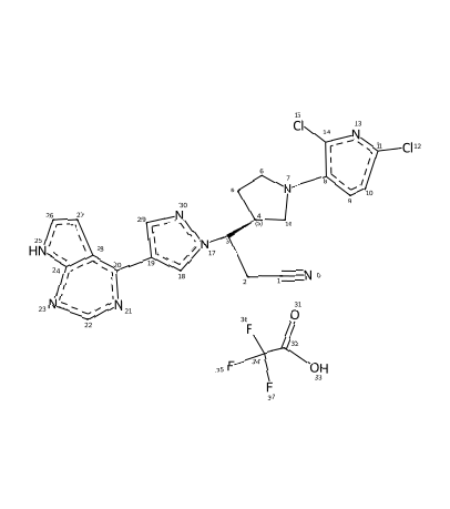 N#CCC([C@H]1CCN(c2ccc(Cl)nc2Cl)C1)n1cc(-c2ncnc3[nH]ccc23)cn1.O=C(O)C(F)(F)F